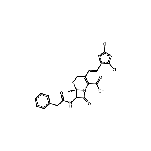 O=C(Cc1ccccc1)NC1C(=O)N2C(C(=O)O)=C(C=Cc3sc(Cl)nc3Cl)CS[C@@H]12